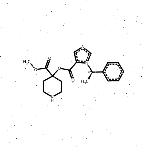 COC(=O)C1(OC(=O)c2cncn2[C@H](C)c2ccccc2)CCNCC1